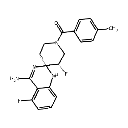 Cc1ccc(C(=O)N2CC[C@]3(N=C(N)c4c(F)cccc4N3)[C@@H](F)C2)cc1